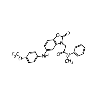 CN(C(=O)Cn1c(=O)oc2ccc(Nc3ccc(OC(F)(F)F)cc3)cc21)c1ccccc1